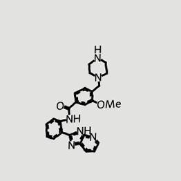 COc1cc(C(=O)Nc2ccccc2-c2nc3cccnc3[nH]2)ccc1CN1CCNCC1